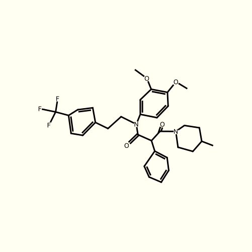 COc1ccc(N(CCc2ccc(C(F)(F)F)cc2)C(=O)C(C(=O)N2CCC(C)CC2)c2ccccc2)cc1OC